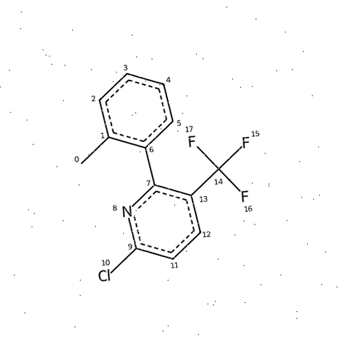 Cc1ccccc1-c1nc(Cl)ccc1C(F)(F)F